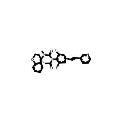 CN1C(=O)N(c2c(F)cc(C#Cc3cccnc3)cc2F)C(=O)C[C@]12CCOc1ccccc12